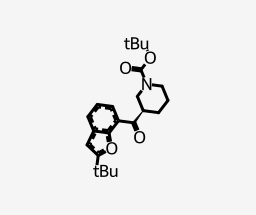 CC(C)(C)OC(=O)N1CCC[C@@H](C(=O)c2cccc3cc(C(C)(C)C)oc23)C1